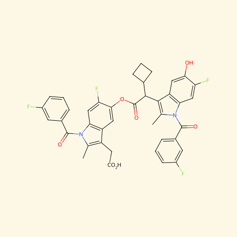 Cc1c(CC(=O)O)c2cc(OC(=O)C(c3c(C)n(C(=O)c4cccc(F)c4)c4cc(F)c(O)cc34)C3CCC3)c(F)cc2n1C(=O)c1cccc(F)c1